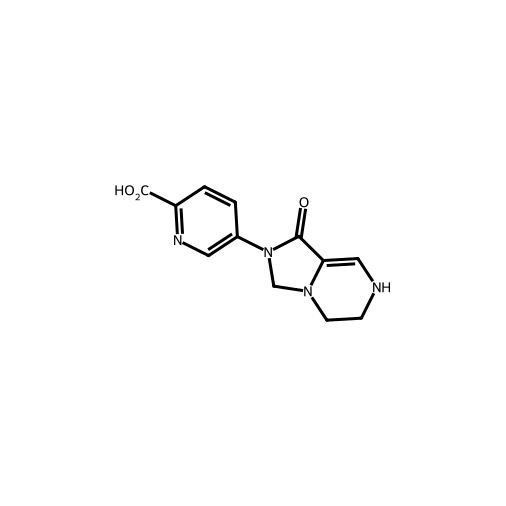 O=C(O)c1ccc(N2CN3CCNC=C3C2=O)cn1